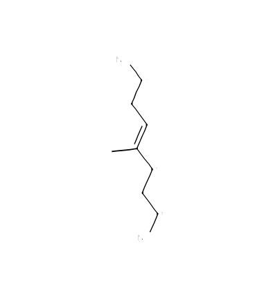 C/C(=C\CCC#N)CCCC#N